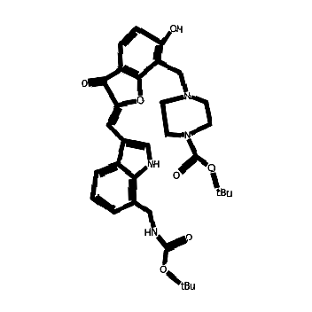 CC(C)(C)OC(=O)NCc1cccc2c(/C=C3\Oc4c(ccc(O)c4CN4CCN(C(=O)OC(C)(C)C)CC4)C3=O)c[nH]c12